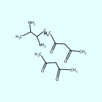 CC(=O)CC(C)=O.CC(=O)CC(C)=O.CC(N)C(C)N